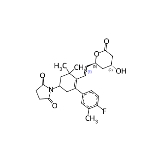 Cc1cc(C2=C(/C=C/[C@@H]3C[C@@H](O)CC(=O)O3)C(C)(C)CC(N3C(=O)CCC3=O)C2)ccc1F